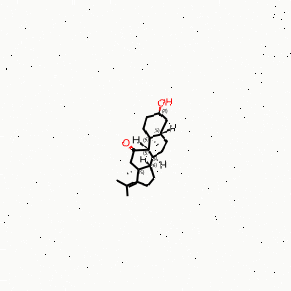 CC(C)=C1CC[C@H]2[C@@H]3CC[C@H]4C[C@H](O)CC[C@]4(C)[C@H]3C(=O)C[C@]12C